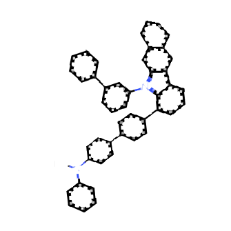 CN(c1ccccc1)c1ccc(-c2ccc(-c3cccc4c5cc6ccccc6cc5n(-c5cccc(-c6ccccc6)c5)c34)cc2)cc1